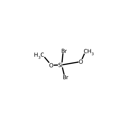 CO[Si](Br)(Br)OC